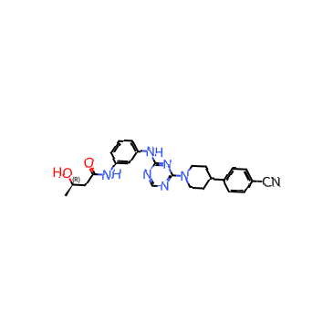 C[C@@H](O)CC(=O)Nc1cccc(Nc2ncnc(N3CCC(c4ccc(C#N)cc4)CC3)n2)c1